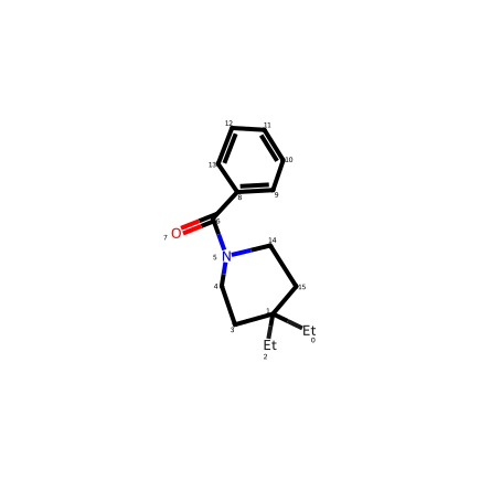 CCC1(CC)CCN(C(=O)c2ccccc2)CC1